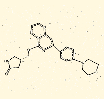 O=C1C[C@@H](COc2nc(-c3ccc(N4CCOCC4)cc3)cc3ncccc23)CN1